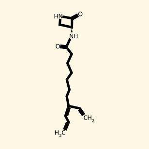 C=C/C=C(\C=C)CCCCCCC(=O)N[C@@H]1CNC1=O